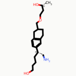 C[C@@H](O)CCOCC1CCc2cc([C@H](CN)CCCCO)ccc2C1